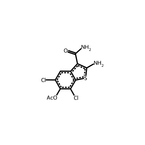 CC(=O)Oc1c(Cl)cc2c(C(N)=O)c(N)sc2c1Cl